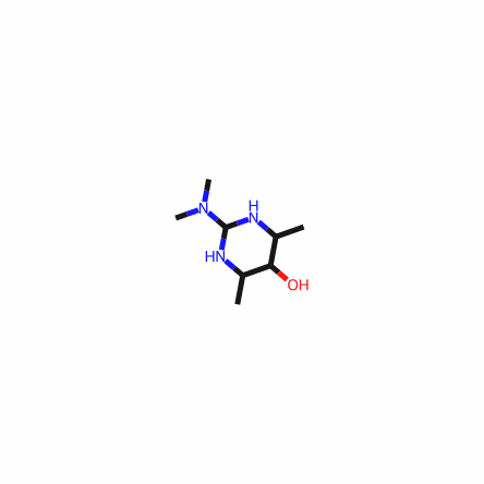 CC1NC(N(C)C)NC(C)C1O